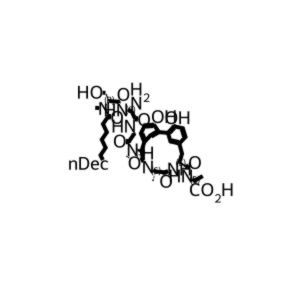 CCCCCCCCCCCCCCCC(=O)N(C)[C@H](CO)C(=O)N[C@H](N)C(=O)NCC(=O)N(C)[C@@H]1C(=O)N[C@@H](C)C(=O)N[C@H](C(=O)N[C@H](C)C(=O)O)Cc2ccc(O)c(c2)-c2cc1ccc2O